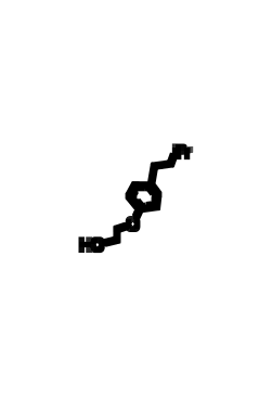 CC(C)CCc1ccc(OCCO)cc1